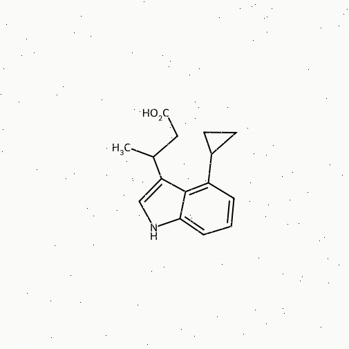 CC(CC(=O)O)c1c[nH]c2cccc(C3CC3)c12